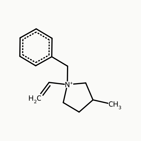 C=C[N+]1(Cc2ccccc2)CCC(C)C1